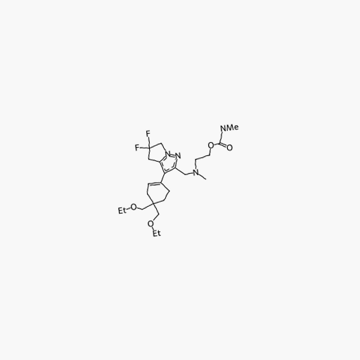 CCOCC1(COCC)CC=C(c2c(CN(C)CCOC(=O)NC)nn3c2CC(F)(F)C3)CC1